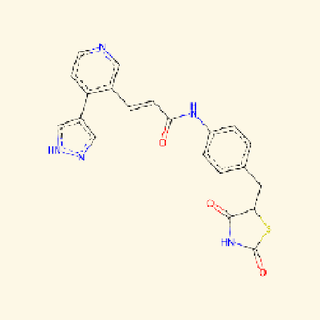 O=C(C=Cc1cnccc1-c1cn[nH]c1)Nc1ccc(CC2SC(=O)NC2=O)cc1